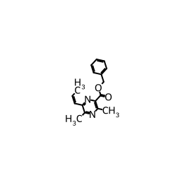 C/C=C\c1nc(C(=O)OCc2ccccc2)c(C)nc1C